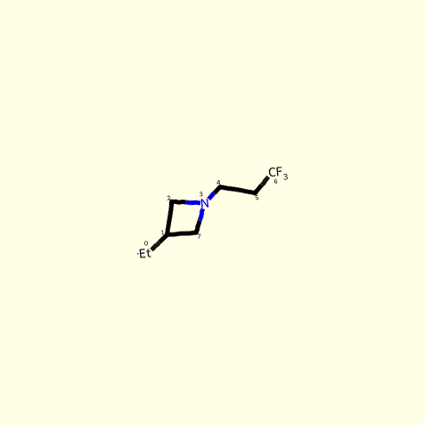 C[CH]C1CN(CCC(F)(F)F)C1